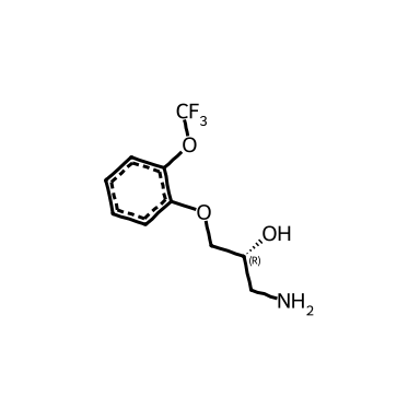 NC[C@@H](O)COc1ccccc1OC(F)(F)F